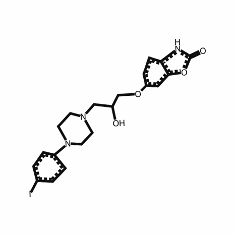 O=c1[nH]c2ccc(OCC(O)CN3CCN(c4ccc(I)cc4)CC3)cc2o1